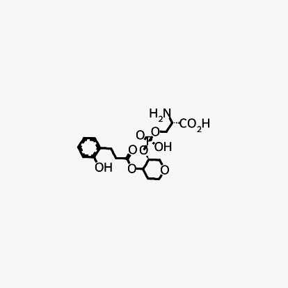 N[C@@H](COP(=O)(O)O[C@@H]1COCCC1OC(=O)CCc1ccccc1O)C(=O)O